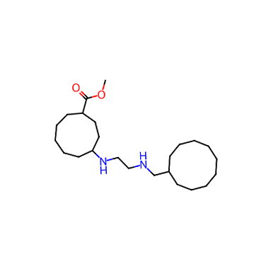 COC(=O)C1CCCCCC(NCCNCC2CCCCCCCCC2)CC1